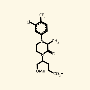 COCC(CCC(=O)O)N1CCN(c2ccc(C(F)(F)F)c(Cl)c2)C(C)C1=O